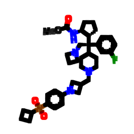 COC(=O)N[C@H]1CCC[C@@H]1[C@](CN1CCC1)(c1cccc(F)c1)C1CCN(CC2CN(c3ccc(S(=O)(=O)C4CCC4)cc3)C2)CC1